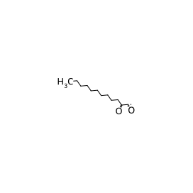 CCCCCCCCCCC(=O)[C]=O